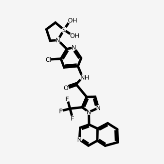 O=C(Nc1cnc(N2CCCS2(O)O)c(Cl)c1)c1cnn(-c2cncc3ccccc23)c1C(F)(F)F